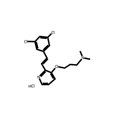 CN(C)CCCOc1cccnc1C=Cc1cc(Cl)cc(Cl)c1.Cl